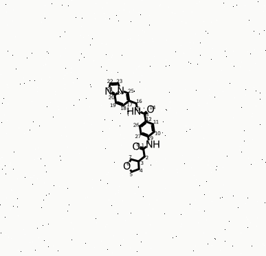 O=C(CC1CCOC1)Nc1ccc(C(=O)NCc2ccc3nccn3c2)cc1